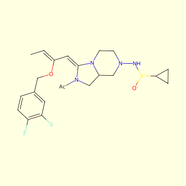 C/C=C(/C=C1\N(C(C)=O)CC2CN(N[S+]([O-])C3CC3)CCN12)OCc1ccc(F)c(F)c1